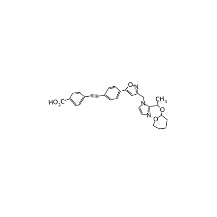 CC(OC1CCCCO1)c1nccn1Cc1cc(-c2ccc(C#Cc3ccc(C(=O)O)cc3)cc2)on1